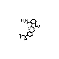 CN(C)CC1(c2ccc(CN3C(=O)c4cccc(C(N)=O)c4C3=O)cc2)CC1